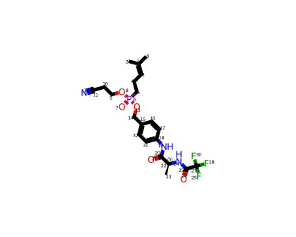 CC(C)=CCCP(=O)(OCCC#N)OCc1ccc(NC(=O)[C@H](C)NC(=O)C(F)(F)F)cc1